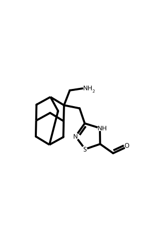 NCC1(CC2=NSC(C=O)N2)C2CC3CC(C2)CC1C3